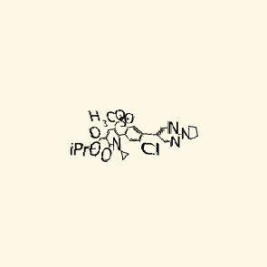 CC(C)OC(=O)c1cc2c(n(C3CC3)c1=O)-c1cc(Cl)c(-c3cnc(N4CCCC4)nc3)cc1S(=O)(=O)C2C